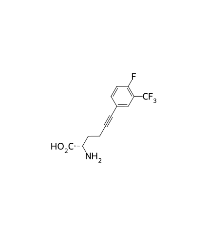 N[C@@H](CCC#Cc1ccc(F)c(C(F)(F)F)c1)C(=O)O